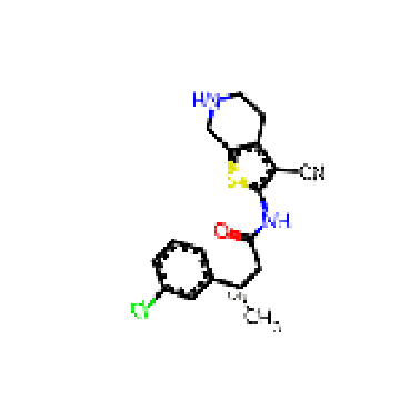 C[C@@H](CC(=O)Nc1sc2c(c1C#N)CCNC2)c1cccc(Cl)c1